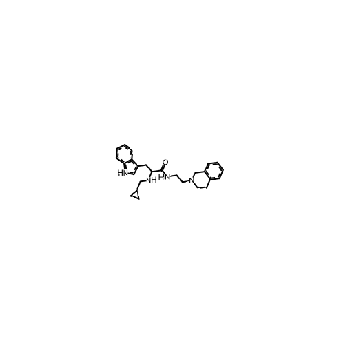 O=C(NCCN1CCc2ccccc2C1)C(Cc1c[nH]c2ccccc12)NCC1CC1